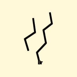 CCCC.CCCCCBr